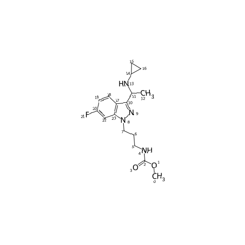 COC(=O)NCCCn1nc(C(C)NC2CC2)c2ccc(F)cc21